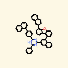 c1ccc(C2=NC(c3cc(-c4cccc5oc6c(-c7ccc8ccccc8c7)cccc6c45)c4ccccc4c3)=NC(c3ccc(-c4cccc5ccccc45)cc3)N2)cc1